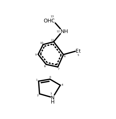 C1=CCNC1.CCc1ccccc1NC=O